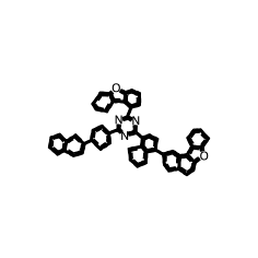 c1ccc2cc(-c3ccc(-c4nc(-c5ccc(-c6ccc7ccc8oc9ccccc9c8c7c6)c6ccccc56)nc(-c5cccc6oc7ccccc7c56)n4)cc3)ccc2c1